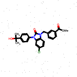 COC(=O)c1cccc(Cn2c(=O)n(-c3ccc(C(C)(C)O)cc3)c3cc(Cl)ccc32)c1